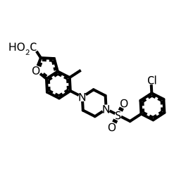 Cc1c(N2CCN(S(=O)(=O)Cc3cccc(Cl)c3)CC2)ccc2oc(C(=O)O)cc12